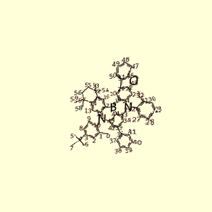 Cc1cc(C(C)(C)C)ccc1N1c2cc3c(cc2B2c4cc5c(cc4N(c4ccccc4C)c4cc(-c6ccccc6)cc1c42)oc1ccccc15)C(C)(C)CCC3(C)C